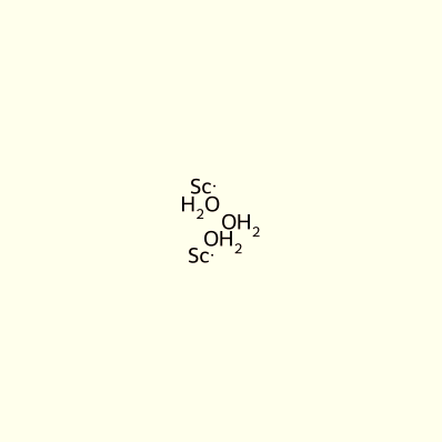 O.O.O.[Sc].[Sc]